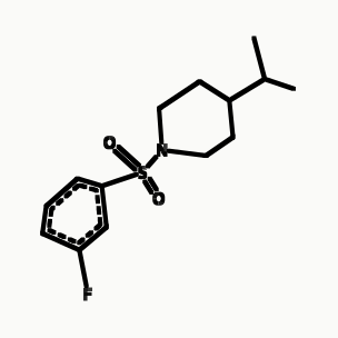 CC(C)C1CCN(S(=O)(=O)c2cccc(F)c2)CC1